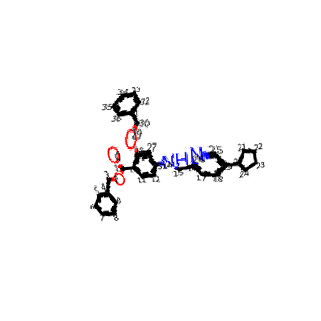 O=C(OCc1ccccc1)c1ccc(NCc2ccc(C3CCCC3)cn2)cc1OCc1ccccc1